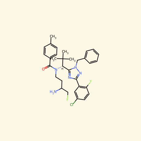 Cc1ccc(C(=O)N(CCC(N)CF)[C@@H](c2nc(-c3cc(Cl)ccc3F)nn2Cc2ccccc2)C(C)(C)C)cc1